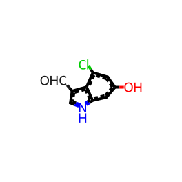 O=Cc1c[nH]c2cc(O)cc(Cl)c12